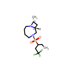 CCC(CC(F)(F)F)S(=O)(=O)N1CCCCN2[C@H](C[C@H]2C)C1